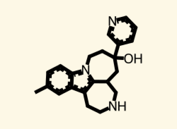 Cc1ccc2c(c1)c1c3n2CCC(O)(c2cccnc2)CC3CNCC1